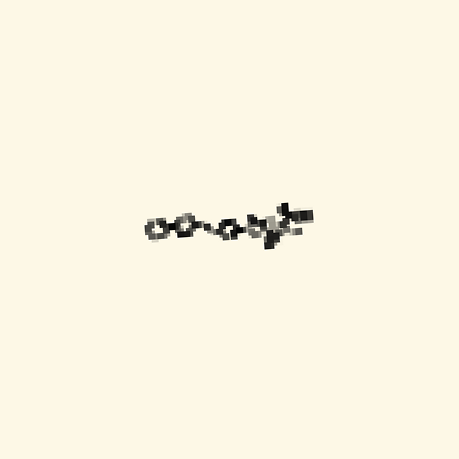 CCC(C(=O)O)N1CC2=C(CC(c3ccc(/C=C/c4ccc(-c5ccccc5)cc4)cc3)S2)S1(=O)=O